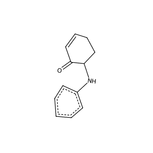 O=C1C=CCCC1Nc1ccccc1